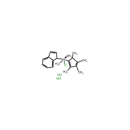 CC1=C(C)C(C)[C]([Hf]([CH3])(=[SiH2])([Cl])[CH]2C=Cc3ccccc32)=C1C.Cl.Cl